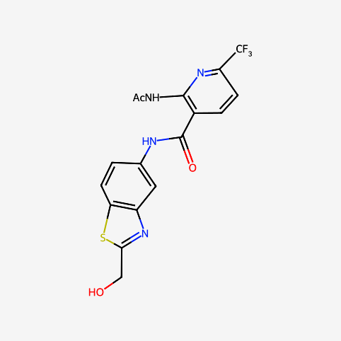 CC(=O)Nc1nc(C(F)(F)F)ccc1C(=O)Nc1ccc2sc(CO)nc2c1